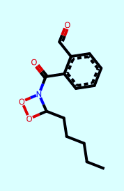 CCCCCC1OON1C(=O)c1ccccc1C=O